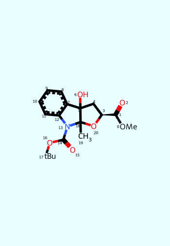 COC(=O)[C@@H]1CC2(O)c3ccccc3N(C(=O)OC(C)(C)C)C2(C)O1